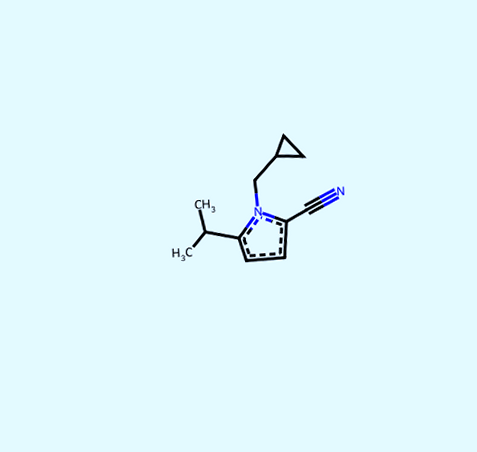 CC(C)c1ccc(C#N)n1CC1CC1